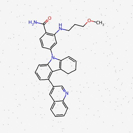 COCCCNc1cc(-n2c3c(c4c(-c5cnc6ccccc6c5)cccc42)CCC=C3)ccc1C(N)=O